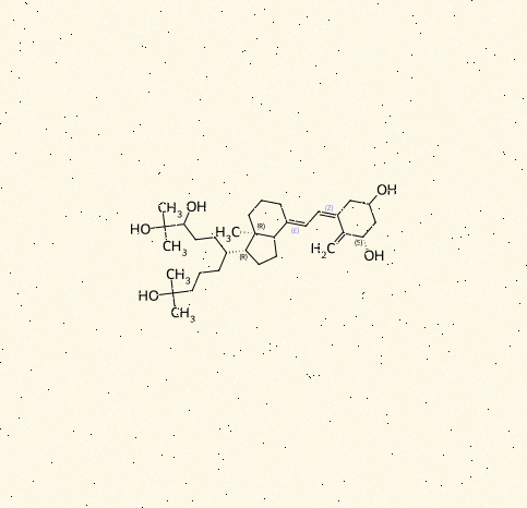 C=C1/C(=C\C=C2/CCC[C@@]3(C)C2CC[C@@H]3C(CCCC(C)(C)O)CCC(O)C(C)(C)O)CC(O)C[C@@H]1O